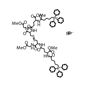 COC(=O)CNC(=O)C(CSSCC(NC(=O)CCC(NC(=O)CCCC[P+](c1ccccc1)(c1ccccc1)c1ccccc1)C(=O)OC)C(=O)NCC(=O)OC)NC(=O)CCC(NC(=O)CCCC[P+](c1ccccc1)(c1ccccc1)c1ccccc1)C(=O)OC.[Br-].[Br-]